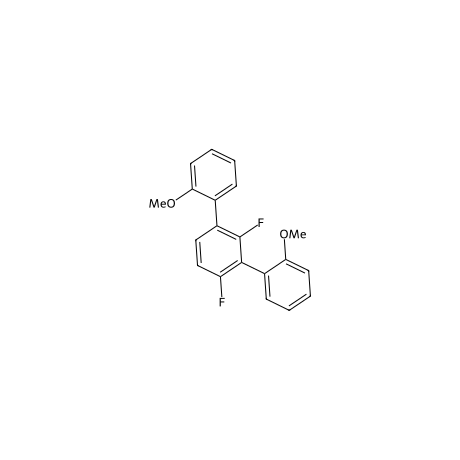 COc1ccccc1-c1ccc(F)c(-c2ccccc2OC)c1F